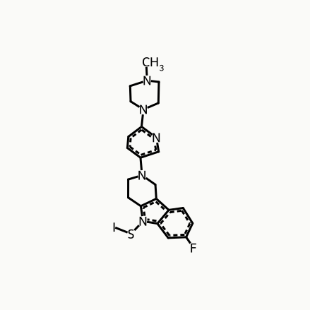 CN1CCN(c2ccc(N3CCc4c(c5ccc(F)cc5n4SI)C3)cn2)CC1